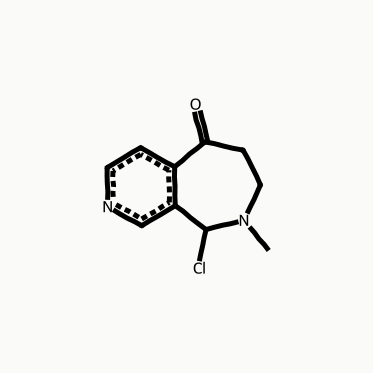 CN1CCC(=O)c2ccncc2C1Cl